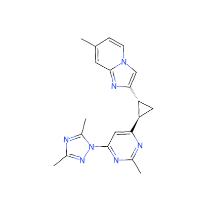 Cc1ccn2cc([C@@H]3C[C@H]3c3cc(-n4nc(C)nc4C)nc(C)n3)nc2c1